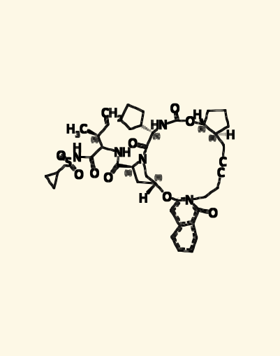 C=C[C@H](C)C(NC(=O)[C@@H]1C[C@@H]2CN1C(=O)[C@H](C1CCCC1)NC(=O)O[C@@H]1CCC[C@H]1CCCCCn1c(cc3ccccc3c1=O)O2)C(=O)NS(=O)(=O)C1CC1